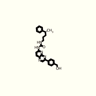 C[C@H](CCCNC(=O)Nc1ccc2ncc(-c3ccc(CO)cc3)nc2n1)c1ccccc1